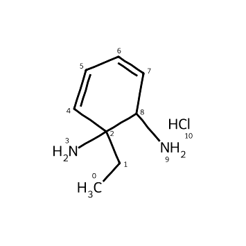 CCC1(N)C=CC=CC1N.Cl